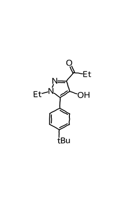 CCC(=O)c1nn(CC)c(-c2ccc(C(C)(C)C)cc2)c1O